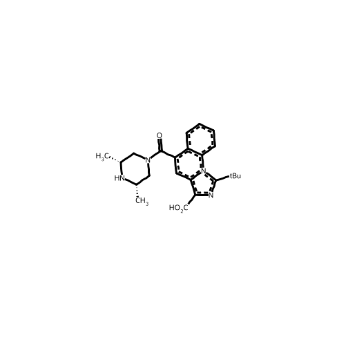 C[C@@H]1CN(C(=O)c2cc3c(C(=O)O)nc(C(C)(C)C)n3c3ccccc23)C[C@H](C)N1